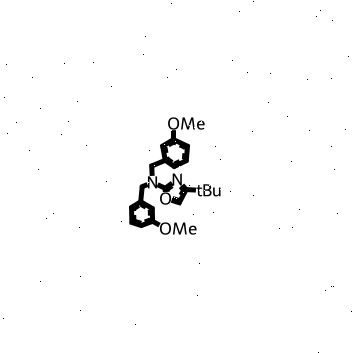 COc1cccc(CN(Cc2cccc(OC)c2)c2nc(C(C)(C)C)co2)c1